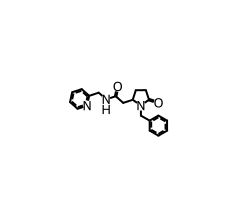 O=C(CC1CCC(=O)N1Cc1ccccc1)NCc1ccccn1